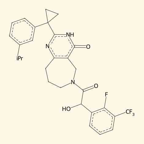 CC(C)c1cccc(C2(c3nc4c(c(=O)[nH]3)CN(C(=O)C(O)c3cccc(C(F)(F)F)c3F)CCC4)CC2)c1